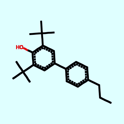 CCCc1ccc(-c2cc(C(C)(C)C)c(O)c(C(C)(C)C)c2)cc1